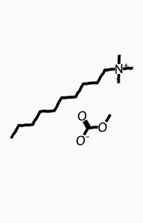 CCCCCCCCCC[N+](C)(C)C.COC(=O)[O-]